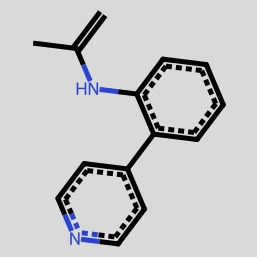 C=C(C)Nc1ccccc1-c1ccncc1